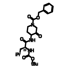 CC(C)C[C@H](NC(=O)OC(C)(C)C)C(=O)NC1CCN(C(=O)OCc2ccccc2)CC1=O